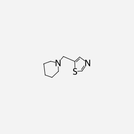 c1ncc(CN2CCCCC2)s1